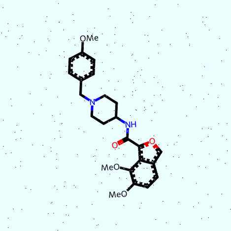 COc1ccc(CN2CCC(NC(=O)c3occ4ccc(OC)c(OC)c34)CC2)cc1